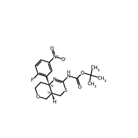 CC(C)(C)OC(=O)NC1=N[C@@]2(c3cc([N+](=O)[O-])ccc3F)CCOC[C@H]2CS1